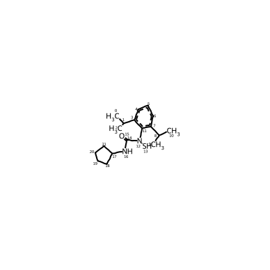 CC(C)c1cccc(C(C)C)c1N(S)C(=O)NC1CCCC1